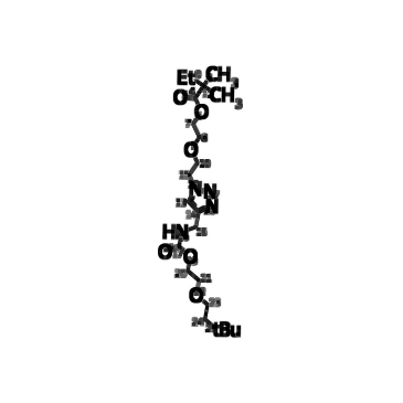 CCC(C)(C)C(=O)OCCOCCn1cc(CNC(=O)OCCOCCC(C)(C)C)nn1